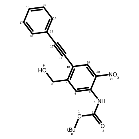 CC(C)(C)OC(=O)Nc1cc(CO)c(C#Cc2ccccc2)cc1[N+](=O)[O-]